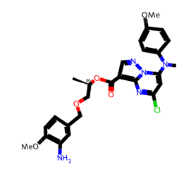 COc1ccc(N(C)c2cc(Cl)nc3c(C(=O)O[C@H](C)COCc4ccc(OC)c(N)c4)cnn23)cc1